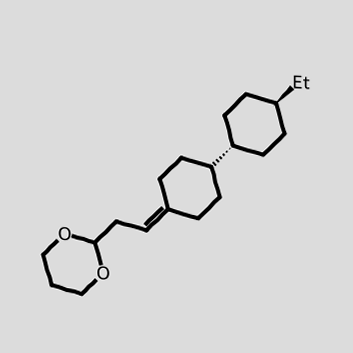 CC[C@H]1CC[C@H](C2CCC(=CCC3OCCCO3)CC2)CC1